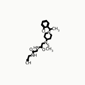 C#CCNC(=O)CNC(=O)CN(SC)C1CCN(C(C)c2ccccc2Cl)CC1